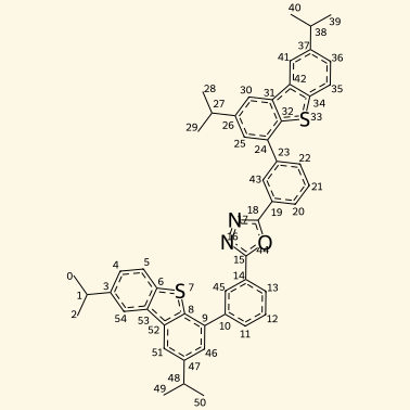 CC(C)c1ccc2sc3c(-c4cccc(-c5nnc(-c6cccc(-c7cc(C(C)C)cc8c7sc7ccc(C(C)C)cc78)c6)o5)c4)cc(C(C)C)cc3c2c1